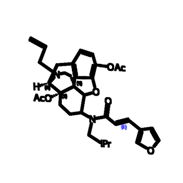 C=CCN1CC[C@]23c4c5ccc(OC(C)=O)c4OC2C(N(CC(C)C)C(=O)/C=C/c2ccoc2)CC[C@@]3(OC(C)=O)[C@H]1C5